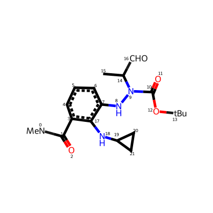 CNC(=O)c1cccc(NN(C(=O)OC(C)(C)C)C(C)C=O)c1NC1CC1